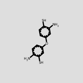 Nc1cc(Oc2ccc(N)c(S)c2)ccc1S